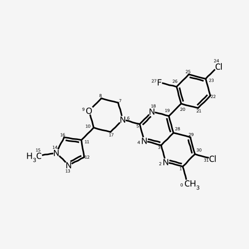 Cc1nc2nc(N3CCOC(c4cnn(C)c4)C3)nc(-c3ccc(Cl)cc3F)c2cc1Cl